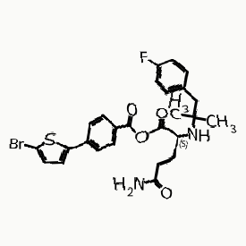 CC(C)(Cc1ccc(F)cc1)N[C@@H](CCC(N)=O)C(=O)OC(=O)c1ccc(-c2ccc(Br)s2)cc1